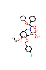 COc1ccc2c(c1OCc1ccc(F)cc1)C[C@H](C(=O)O)N(C(=O)[C@@H](OC1CCCC1)c1ccccc1)C2